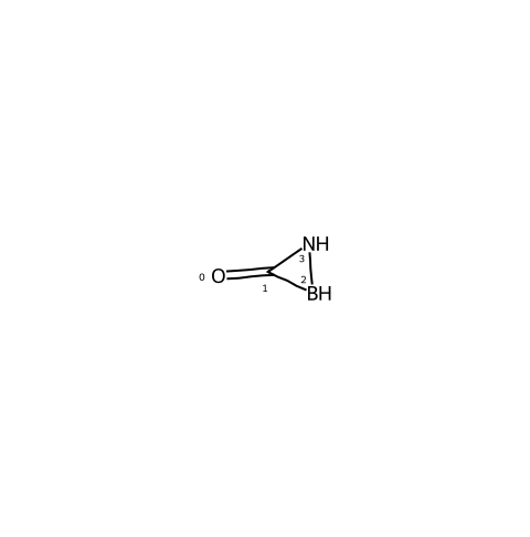 O=C1BN1